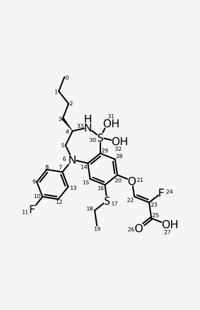 CCCC[C@@H]1CN(c2ccc(F)cc2)c2cc(SCC)c(O/C=C(\F)C(=O)O)cc2S(O)(O)N1